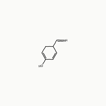 N=CC1C=CC(O)=CC1